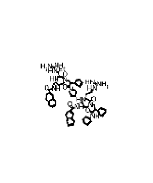 CCC(NC(=N)N)[C@@H]1N[C@H](CNC(=O)c2ccc3ccccc3c2)CCN(CC(C(=O)N2CCCCC2)c2ccccc2)C1=O.N=C(N)NCCC[C@@H]1N[C@H](CNC(=O)c2ccc3ccccc3c2)CCN(CC(C(=O)Nc2ccccc2)c2ccccc2)C1=O